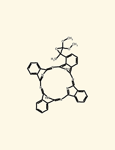 COC1(OC)OC1([SiH3])c1cccc2c3nc4nc(nc5[nH]c(nc6nc(nc([nH]3)c12)-c1ccccc1-6)c1ccccc51)-c1ccccc1-4